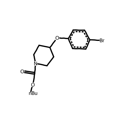 CCCCOC(=O)N1CCC(Oc2ccc(Br)cc2)CC1